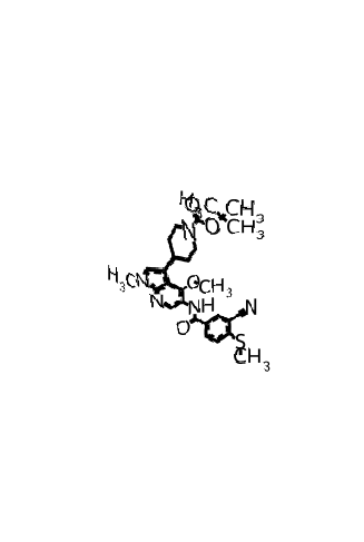 COc1c(NC(=O)c2ccc(SC)c(C#N)c2)cnc2c1c(C1CCN(C(=O)OC(C)(C)C)CC1)cn2C